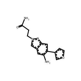 NC(=O)CCn1cc2cc(N)c(-c3ccoc3)cc2n1